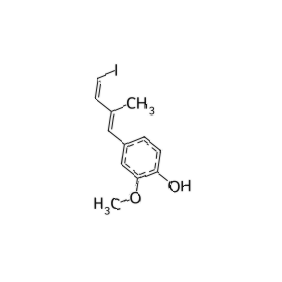 COc1cc(/C=C(C)/C=C\I)ccc1O